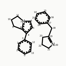 c1ccc(-c2ccn3c2CCC3)cc1.c1ccc(CC2=NCCC2)cc1